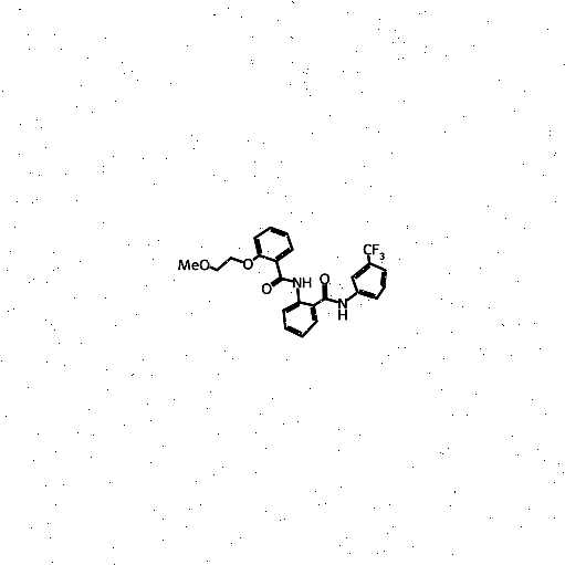 COCCOc1ccccc1C(=O)Nc1ccccc1C(=O)Nc1cccc(C(F)(F)F)c1